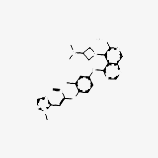 C=N/C(=C\c1ncnn1C)Oc1ccc(Nc2ncnc3cnc(OC)c(N4CC(N(C)C)C4)c23)cc1C